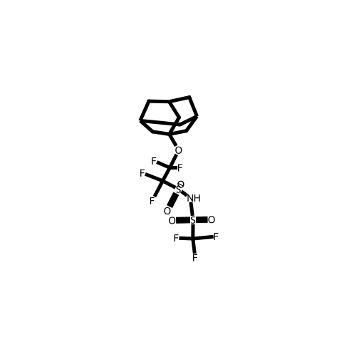 O=S(=O)(NS(=O)(=O)C(F)(F)C(F)(F)OC12CC3CC(CC(C3)C1)C2)C(F)(F)F